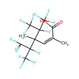 CC(=CC(C)(C(F)(C(F)(F)F)C(F)(F)F)C(F)(C(F)(F)F)C(F)(F)F)C(=O)O